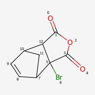 O=C1OC(=O)C2(Br)C3C=CC(C3)C12